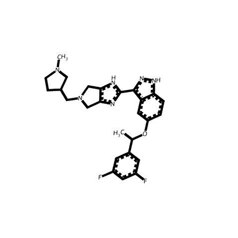 CC(Oc1ccc2[nH]nc(-c3nc4c([nH]3)CN(CC3CCN(C)C3)C4)c2c1)c1cc(F)cc(F)c1